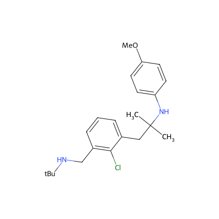 COc1ccc(NC(C)(C)Cc2cccc(CNC(C)(C)C)c2Cl)cc1